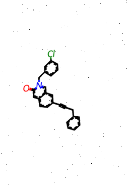 O=c1cc2ccc(C#CCc3ccccc3)cc2cn1Cc1cccc(Cl)c1